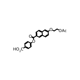 CC(=O)OCCOc1ccc2cc(C(=O)Oc3ccc(C(=O)O)cc3)ccc2c1